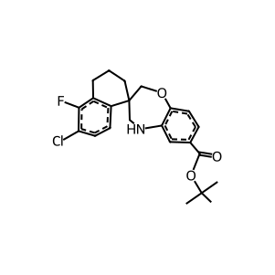 CC(C)(C)OC(=O)c1ccc2c(c1)NCC1(CCCc3c1ccc(Cl)c3F)CO2